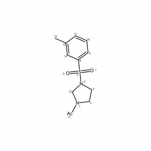 CC(=O)N1CCN(S(=O)(=O)c2cccc(C)c2)C1